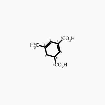 CC1=CC(C(=O)O)=CC(C(=O)O)C1